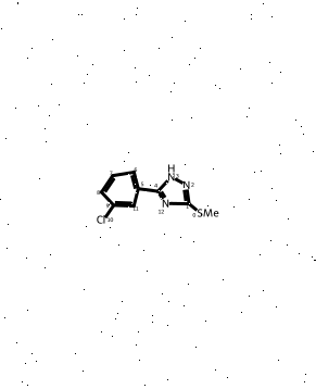 CSc1n[nH]c(-c2cccc(Cl)c2)n1